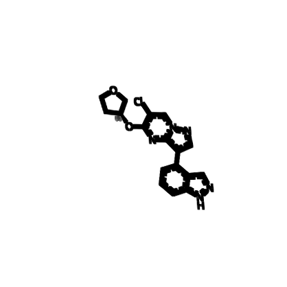 Clc1cn2ncc(-c3cccc4[nH]ncc34)c2nc1O[C@H]1CCOC1